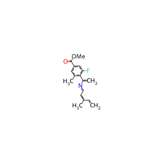 C=C/C(C)=C\C=N\C(=C)c1c(C)cc(C(=O)OC)cc1F